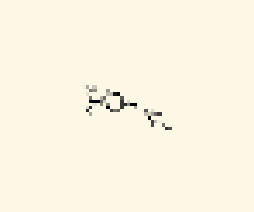 CC(C)(C)NCCN1CCN(C(=O)C(C)(C)C)CC1